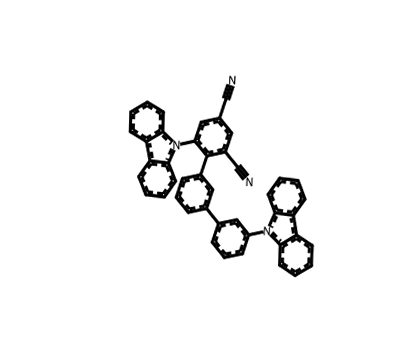 N#Cc1cc(C#N)c(-c2cccc(-c3cccc(-n4c5ccccc5c5ccccc54)c3)c2)c(-n2c3ccccc3c3ccccc32)c1